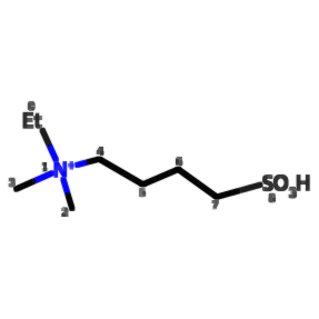 CC[N+](C)(C)CCCCS(=O)(=O)O